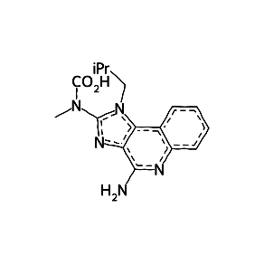 CC(C)Cn1c(N(C)C(=O)O)nc2c(N)nc3ccccc3c21